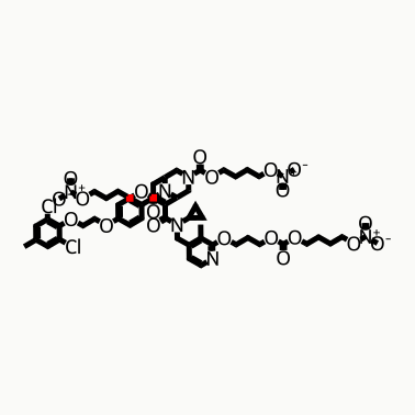 Cc1cc(Cl)c(OCCOc2ccc(C3=C(C(=O)N(Cc4ccnc(OCCCOC(=O)OCCCCO[N+](=O)[O-])c4C)C4CC4)C4CN(C(=O)OCCCCO[N+](=O)[O-])CC(C3)N4C(=O)OCCCCO[N+](=O)[O-])cc2)c(Cl)c1